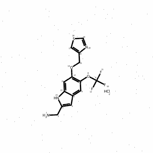 Cl.NCc1cc2cc(OC(F)(F)F)c(OCc3cscn3)cc2[nH]1